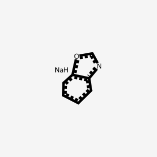 [NaH].c1ccc2ocnc2c1